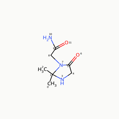 CC1(C)NCC(=O)N1CC(N)=O